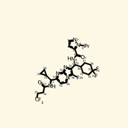 CC(C)n1nccc1C(=O)N[C@H](c1nc2nc(C(NC(=O)CCC(F)(F)F)C3CC3)ccn2c1F)C1CCC(F)(F)CC1